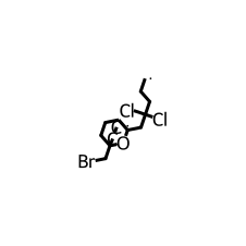 [CH2]CCC(Cl)(Cl)C[C]1OC2(CBr)CCC1CC2